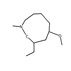 CCC1CC(OC)CCCCN(C)C1